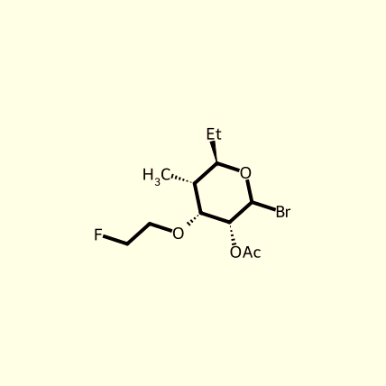 CC[C@H]1OC(Br)[C@H](OC(C)=O)[C@H](OCCF)[C@@H]1C